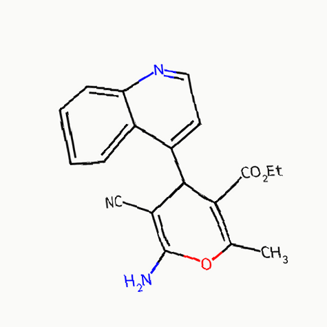 CCOC(=O)C1=C(C)OC(N)=C(C#N)C1c1ccnc2ccccc12